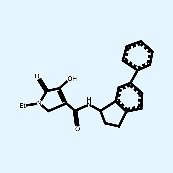 CCN1CC(C(=O)NC2CCc3ccc(-c4ccccc4)cc32)=C(O)C1=O